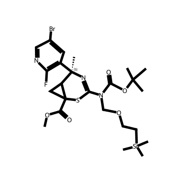 COC(=O)C12CC1[C@@](C)(c1cc(Br)cnc1F)N=C(N(COCC[Si](C)(C)C)C(=O)OC(C)(C)C)S2